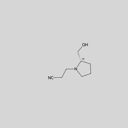 N#CCCN1CCC[C@H]1CO